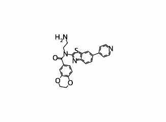 NCCN(C(=O)c1ccc2c(c1)OCCO2)c1nc2ccc(-c3ccncc3)cc2s1